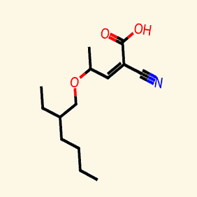 CCCCC(CC)COC(C)C=C(C#N)C(=O)O